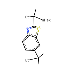 CCCCCCC(C)(CC)c1nc2ccc(C(C)(C)CC)cc2s1